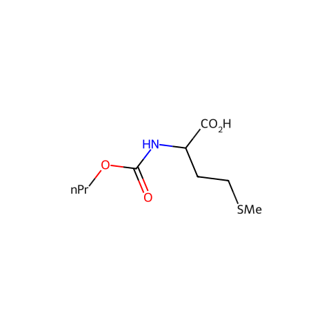 CCCOC(=O)NC(CCSC)C(=O)O